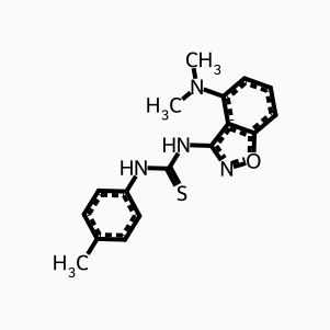 Cc1ccc(NC(=S)Nc2noc3cccc(N(C)C)c23)cc1